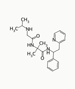 CC(C)NCC(=O)NC(C)(C)C(=O)NC(Cc1ccccn1)c1ccccc1